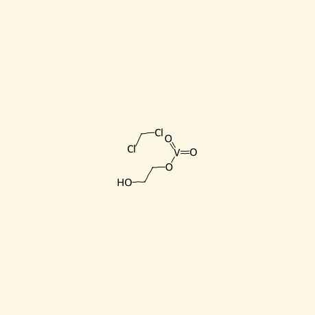 ClCCl.[O]=[V](=[O])[O]CCO